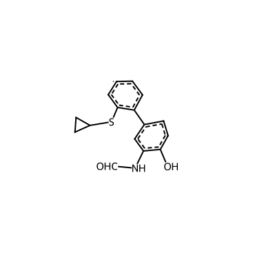 O=CNc1cc(-c2cc[c]cc2SC2CC2)ccc1O